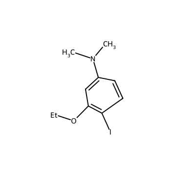 CCOc1cc(N(C)C)ccc1I